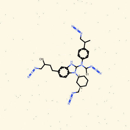 CCC(N=[N+]=[N-])N(c1ccc(C(C)CN=[N+]=[N-])cc1)C1Nc2cc(CCC(CN=[N+]=[N-])N=O)ccc2N1[C@H]1CCC[C@@H](CN=[N+]=[N-])C1